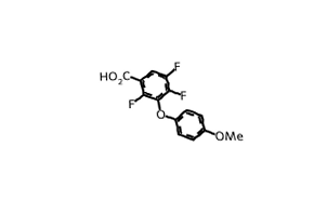 COc1ccc(Oc2c(F)c(F)cc(C(=O)O)c2F)cc1